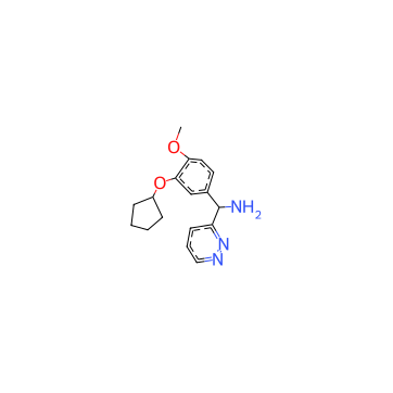 COc1ccc(C(N)c2cccnn2)cc1OC1CCCC1